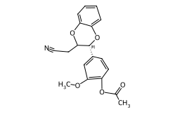 COc1cc([C@H]2Oc3ccccc3OC2CC#N)ccc1OC(C)=O